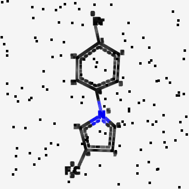 CC(C)c1ccc(-n2ccc(C(F)(F)F)c2)cc1